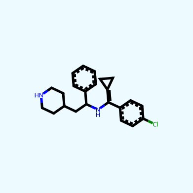 Clc1ccc(C(NC(CC2CCNCC2)c2ccccc2)=C2CC2)cc1